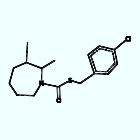 CC1CCCCN(C(=O)SCc2ccc(Cl)cc2)C1C